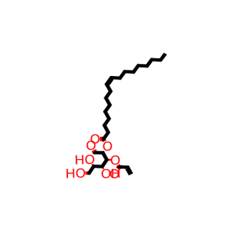 C=CC(=O)O[C@@H]([C@H](O)[C@H](O)CO)[C@H](C=O)OC(=O)CCCCCCC/C=C\CCCCCCCC